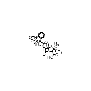 CC1(C)S[C@@H]2C(NC(=O)Cc3ccccc3N(C=O)S(N)(=O)=O)C(=O)N2[C@H]1C(=O)O